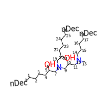 CCCCCCCCCCCCCCC(O)CN(CCCN(C)CCCCCCCCCCCCCC)CC(O)CCCCCCCCCCCCCC